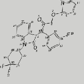 O=C1C(N(C(=O)COc2ccccn2)c2cccc(F)c2)c2ccccc2N1C1CCC(F)(F)CC1